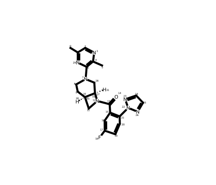 Cc1cnc(C)c(N2CC[C@@H]3CN(C(=O)c4cc(F)ccc4-n4nccn4)[C@@H]3C2)n1